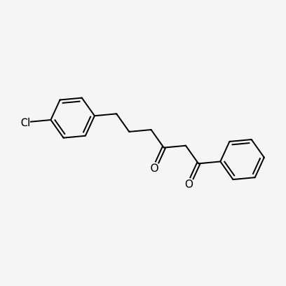 O=C(CCCc1ccc(Cl)cc1)CC(=O)c1ccccc1